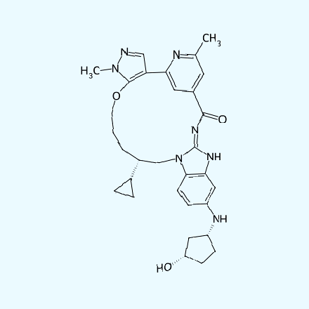 Cc1cc2cc(n1)-c1cnn(C)c1OCCC[C@@H](C1CC1)CN1/C(=N/C2=O)Nc2cc(N[C@@H]3CC[C@H](O)C3)ccc21